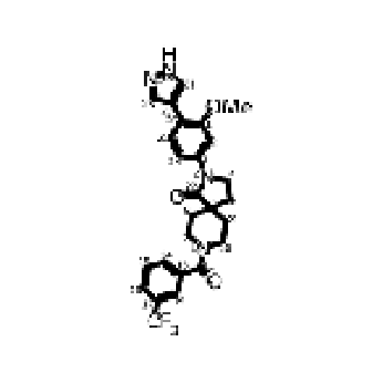 COc1cc(N2CCC3(CCN(C(=O)c4cccc(C(F)(F)F)c4)CC3)C2=O)ccc1-c1cn[nH]c1